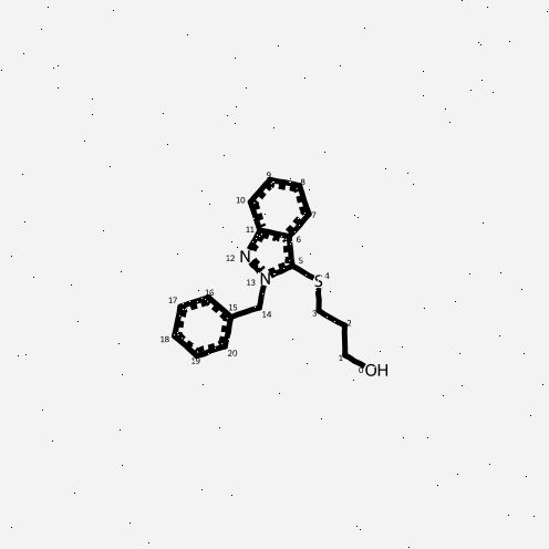 OCCCSc1c2ccccc2nn1Cc1ccccc1